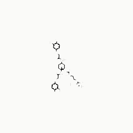 O=C(COc1ccc(Cl)c(F)c1)NC12CCC(NC(=O)COc3ccc(Cl)c(F)c3)(CC1)[C@H](OC(=O)NCCOP(=O)(O)O)C2